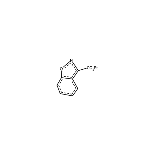 CCOC(=O)c1noc2ccccc12